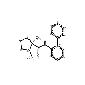 C[C@@]1(C(=O)Nc2ccccc2-c2ccccc2)CCCN1C(=O)O